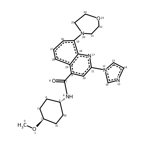 CO[C@H]1CC[C@H](NC(=O)c2cc(-n3ccnc3)nc3c(N4CCOCC4)cccc23)CC1